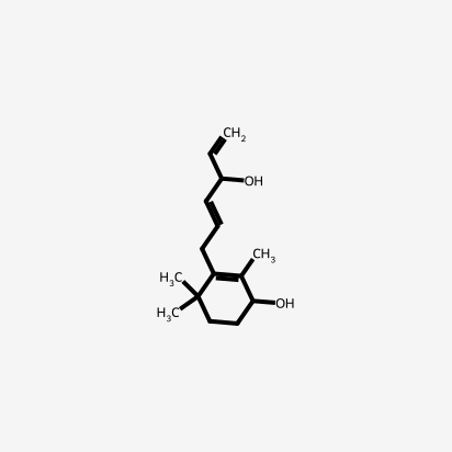 C=CC(O)C=CCC1=C(C)C(O)CCC1(C)C